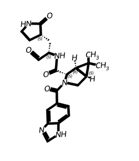 CC1(C)[C@@H]2[C@@H](C(=O)N[C@H](C=O)C[C@@H]3CCNC3=O)N(C(=O)c3ccc4[nH]cnc4c3)C[C@@H]21